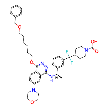 C[C@@H](Nc1nnc(OCCCCCCOCc2ccccc2)c2ccc(N3CCOCC3)cc12)c1cccc(C(F)(F)C2CCN(C(=O)O)CC2)c1